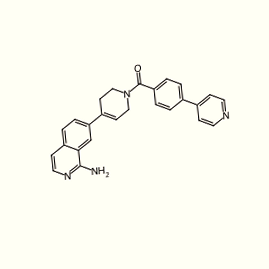 Nc1nccc2ccc(C3=CCN(C(=O)c4ccc(-c5ccncc5)cc4)CC3)cc12